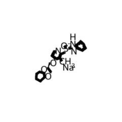 Cc1c(OC[C@H]2COC3(CCCCC3)O2)ccnc1C[S+]([O-])c1nc2ccccc2[nH]1.[Na]